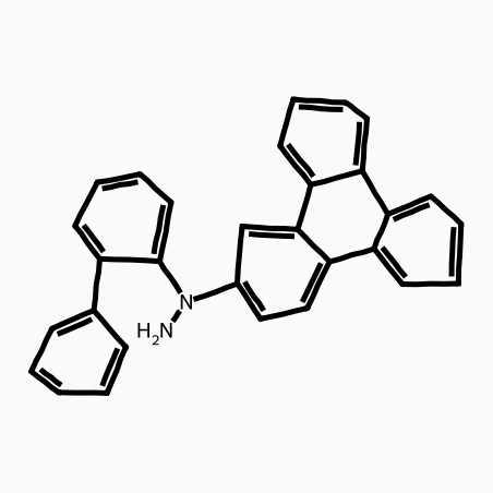 NN(c1ccc2c3ccccc3c3ccccc3c2c1)c1ccccc1-c1ccccc1